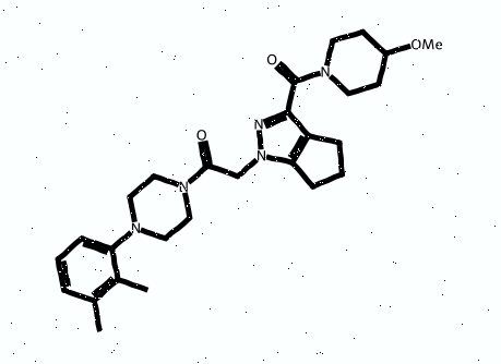 COC1CCN(C(=O)c2nn(CC(=O)N3CCN(c4cccc(C)c4C)CC3)c3c2CCC3)CC1